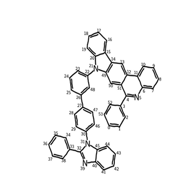 c1ccc(-c2nc3ccccc3c3cc4c5ccccc5n(-c5cccc(-c6ccc(-n7c(-c8ccccc8)nc8ccccc87)cc6)c5)c4cc23)cc1